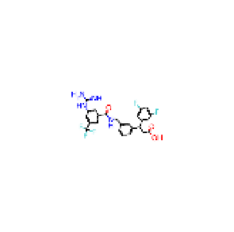 N=C(N)Nc1cc(C(=O)NCc2cccc(C(CC(=O)O)c3cc(F)cc(F)c3)c2)cc(C(F)(F)F)c1